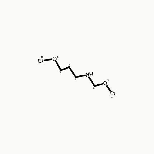 CCOCCCNCOCC